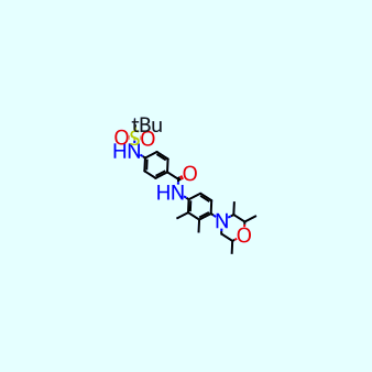 Cc1c(NC(=O)c2ccc(NS(=O)(=O)C(C)(C)C)cc2)ccc(N2CC(C)OC(C)C2C)c1C